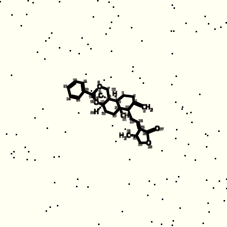 C=C1CC[C@@H]2[C@]3(C)COC(c4ccccc4)O[C@@H]3CC[C@@]2(C)[C@@H]1C/C=C1/C(=O)OC[C@H]1C